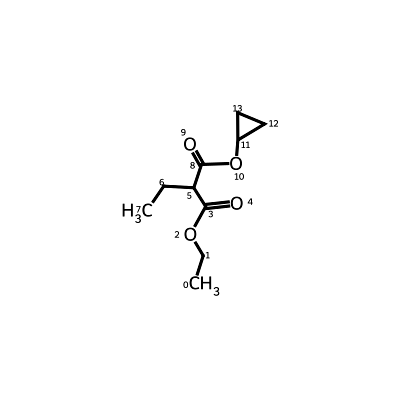 CCOC(=O)C(CC)C(=O)OC1CC1